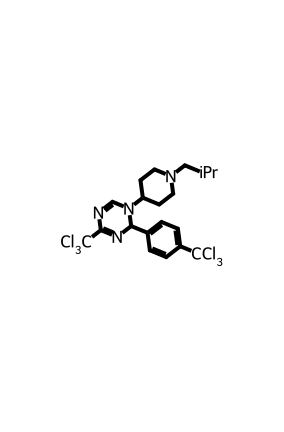 CC(C)CN1CCC(N2C=NC(C(Cl)(Cl)Cl)=NC2c2ccc(C(Cl)(Cl)Cl)cc2)CC1